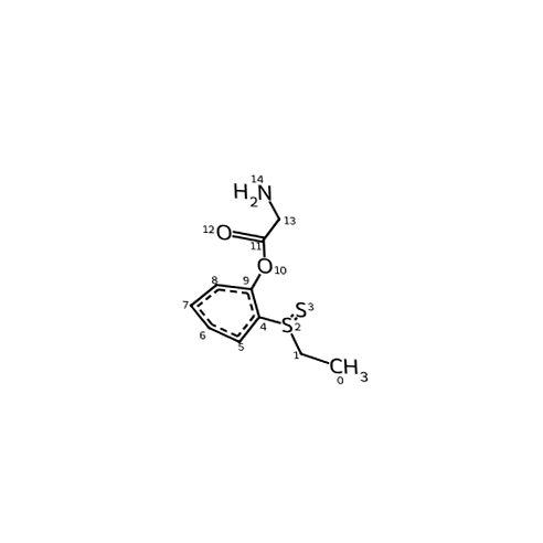 CCS(=S)c1ccccc1OC(=O)CN